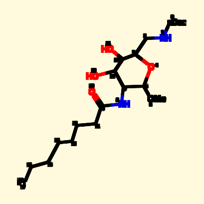 CCCCCCCCCCNCC1OC(OC)C(NC(=O)CCCCCCC(C)C)C(O)C1O